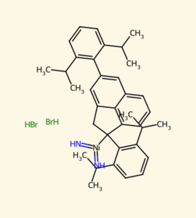 Br.Br.CC(C)c1cccc(C(C)C)c1-c1cc2c3c(cccc3c1)[C](c1c(C(C)C)cccc1C(C)C)([Ni](=[NH])=[NH])C2